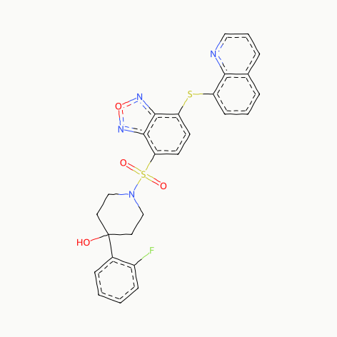 O=S(=O)(c1ccc(Sc2cccc3cccnc23)c2nonc12)N1CCC(O)(c2ccccc2F)CC1